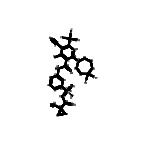 Cc1c(C#N)c(C(F)(F)F)nc(N2CCCC(F)(F)CC2)c1C(=O)Nc1cccc([S@@](C)(=O)=NC(=O)C2(N)CC2)c1